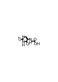 COc1ncc(NCC(=O)O)c(=O)[nH]1